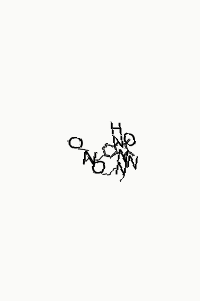 CCCN(CC)c1ncc2c(=O)[nH]c3ccc(C(=O)N(C)CCOC)cc3n12